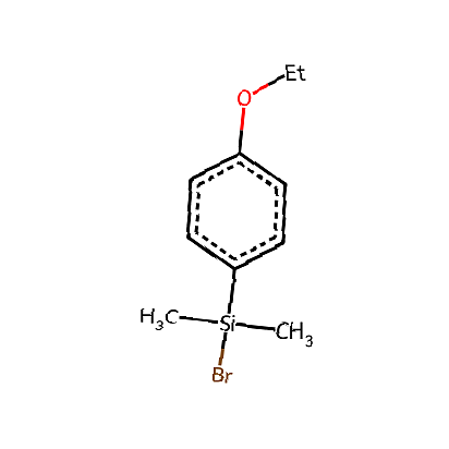 CCOc1ccc([Si](C)(C)Br)cc1